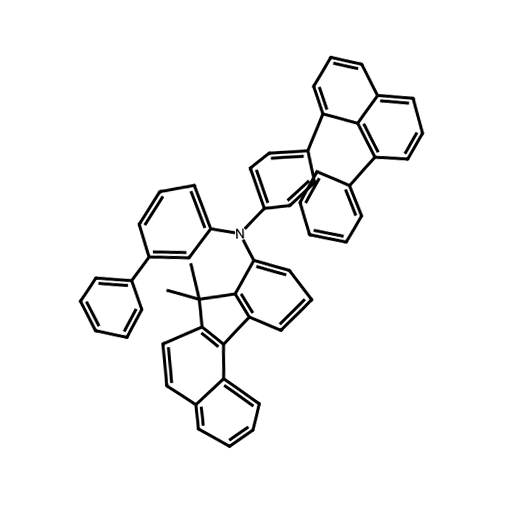 CC1(C)c2ccc3ccccc3c2-c2cccc(N(c3ccc(-c4cccc5cccc(-c6ccccc6)c45)cc3)c3cccc(-c4ccccc4)c3)c21